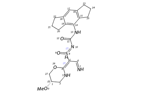 CO[C@H]1CN/C(=C(C=N)/[SH](=O)=N/C(=O)Nc2c3c(cc4c2CCC4)CCC3)OC1